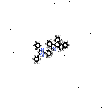 c1ccc(-c2cc(-c3ccccc3)nc(-c3cccc(-c4nc5c6ccc7ccccc7c6c6ccccc6c5c5ccccc45)c3)n2)cc1